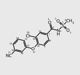 CS(=O)(=O)NC(=O)c1ccc(Oc2cccc(C#N)c2)c(Cl)c1